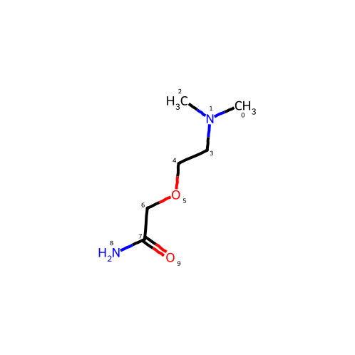 CN(C)CCOCC(N)=O